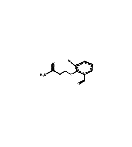 NC(=O)CCOc1c(Br)cccc1C=O